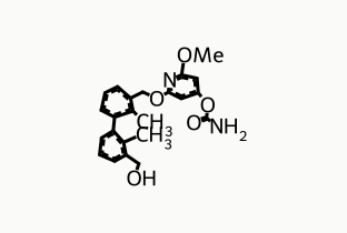 COc1cc(OC(N)=O)cc(OCc2cccc(-c3cccc(CO)c3C)c2C)n1